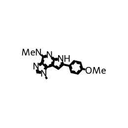 CNc1nc2[nH]c(-c3ccc(OC)cc3)cc2c2c1ncn2C